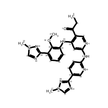 CCC(=O)c1cnc(Nc2ccc(-c3ncn(C)n3)cn2)cc1Nc1cccc(-c2ncn(C)n2)c1OC